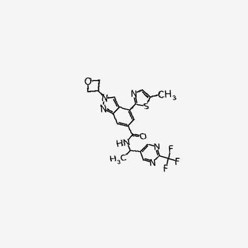 Cc1cnc(-c2cc(C(=O)NC(C)c3cnc(C(F)(F)F)nc3)cc3nn(C4COC4)cc23)s1